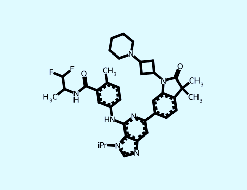 Cc1ccc(Nc2nc(-c3ccc4c(c3)N(C3CC(N5CCCCC5)C3)C(=O)C4(C)C)cc3ncn(C(C)C)c23)cc1C(=O)NC(C)C(F)F